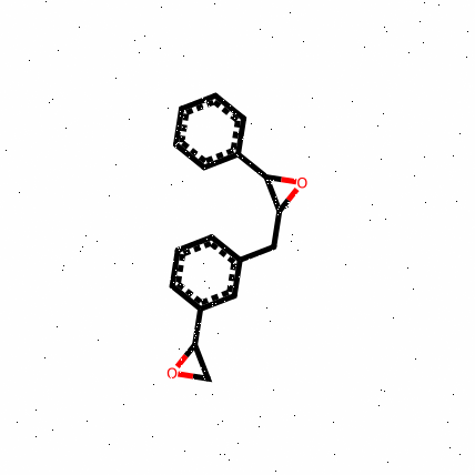 c1ccc(C2OC2Cc2cccc(C3CO3)c2)cc1